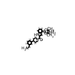 CC1(C)OB(c2cccc3[nH]c(C(=O)N4CCC(c5cccc(CN)c5)CC4)cc23)OC1(C)C